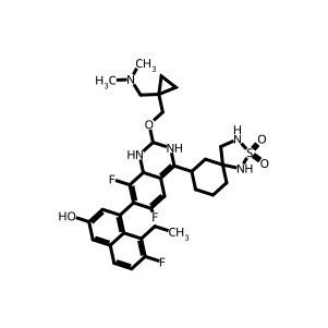 CCc1c(F)ccc2cc(O)cc(C3=C(F)C4NC(OCC5(CN(C)C)CC5)NC(C5CCCC6(CNS(=O)(=O)N6)C5)=C4C=C3F)c12